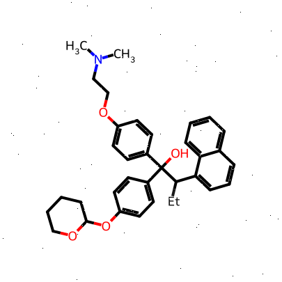 CCC(c1cccc2ccccc12)C(O)(c1ccc(OCCN(C)C)cc1)c1ccc(OC2CCCCO2)cc1